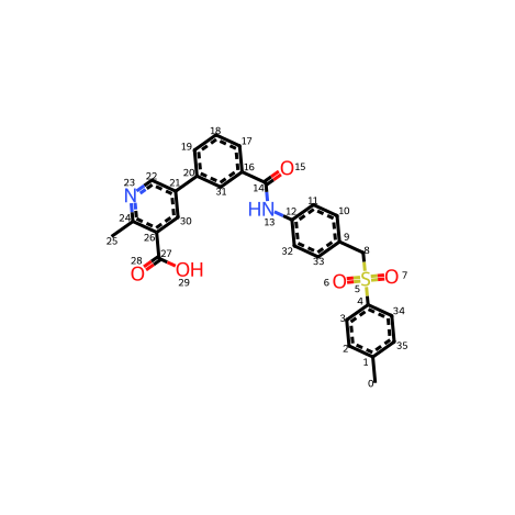 Cc1ccc(S(=O)(=O)Cc2ccc(NC(=O)c3cccc(-c4cnc(C)c(C(=O)O)c4)c3)cc2)cc1